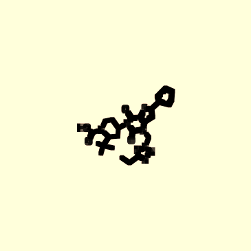 CCc1nnn(Cn2c(=O)n(C3CCN(C(=O)O)C(C(C)(C)C)C3)c(=O)c3sc(-c4ccccc4)cc32)n1